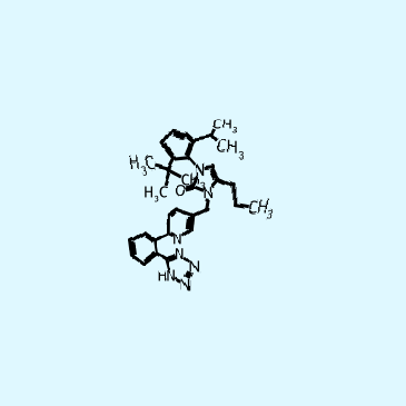 CCCc1cn(-c2c(C(C)C)cccc2C(C)(C)C)c(=O)n1Cc1ccc(-c2ccccc2-c2nnn[nH]2)nc1